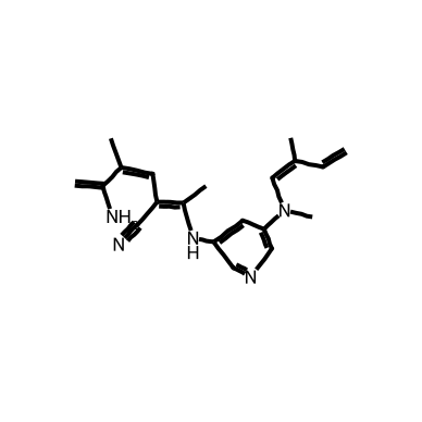 C=C/C(C)=C\N(C)c1cncc(N/C(C)=C(C#N)/C=C(/C)C(=C)N)c1